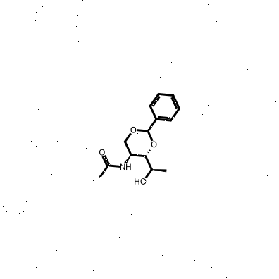 CC(=O)N[C@H]1COC(c2ccccc2)O[C@@H]1[C@@H](C)O